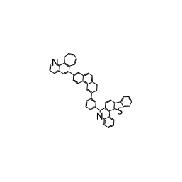 C1=CCc2c(c(-c3ccc4c(ccc5ccc(-c6cccc(-c7nc8ccccc8c8c7ccc7c9ccccc9sc78)c6)cc54)c3)cc3cccnc23)C=C1